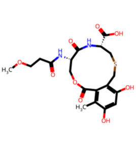 COCCC(=O)N[C@H]1COC(=O)c2c(C)c(O)cc(O)c2CSC[C@@H](C(=O)O)NC1=O